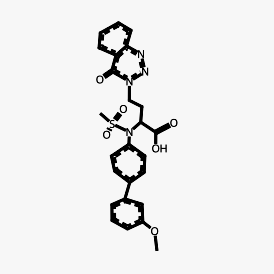 COc1cccc(-c2ccc(N(C(CCn3nnc4ccccc4c3=O)C(=O)O)S(C)(=O)=O)cc2)c1